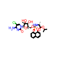 CC(C)OC(=O)[C@@H](C)N[P@@](=O)(OC[C@H]1O[C@@H](n2cc(Cl)c(N)nc2=O)[C@](C)(O)[C@@H]1O)Oc1cccc2ccccc12